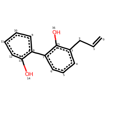 C=CCc1cccc(-c2ccccc2O)c1O